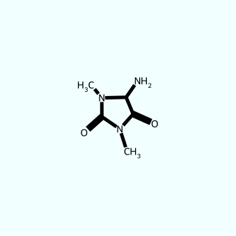 CN1C(=O)C(N)N(C)C1=O